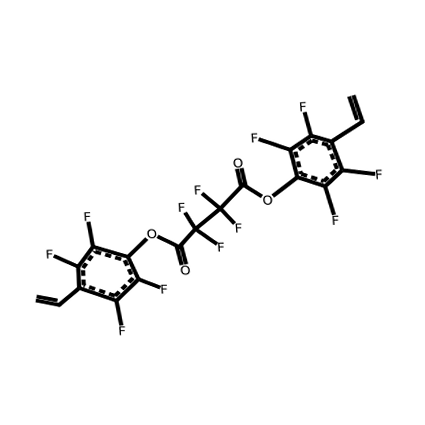 C=Cc1c(F)c(F)c(OC(=O)C(F)(F)C(F)(F)C(=O)Oc2c(F)c(F)c(C=C)c(F)c2F)c(F)c1F